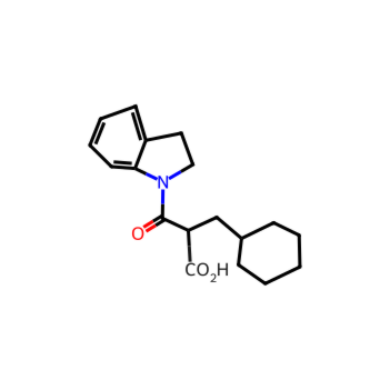 O=C(O)C(CC1CCCCC1)C(=O)N1CCc2ccccc21